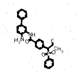 COP(=O)(c1ccccc1)C(CF)c1ccc(C(=O)Nc2cc(-c3ccccc3)ccc2N)cc1